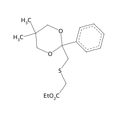 CCOC(=O)CSCC1(c2ccccc2)OCC(C)(C)CO1